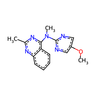 COc1cnc(N(C)c2nc(C)nc3ccccc23)nc1